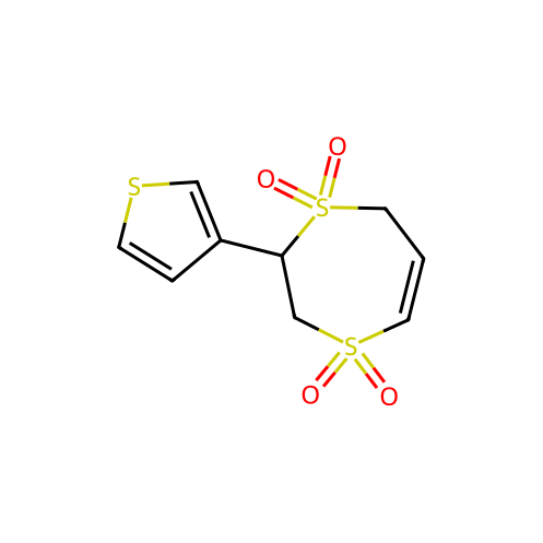 O=S1(=O)C=CCS(=O)(=O)C(c2ccsc2)C1